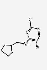 Clc1ncc(Br)c(NCC2CCCC2)n1